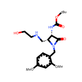 COc1ccc(CN2C(=O)[C@@H](NC(=O)OC(C)(C)C)[C@H]2CNCCO)c(OC)c1